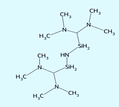 CN(C)C([SiH2]N[SiH2]C(N(C)C)N(C)C)N(C)C